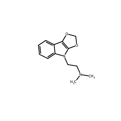 CN(C)CCn1c2c(c3ccccc31)OCO2